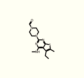 CCc1c(C)sc2nc(N3CCN(C=O)CC3)nc(NC)c12